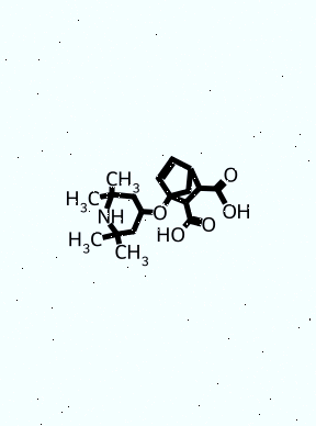 CC1(C)CC(OC23C=CC(C2)C(C(=O)O)C3C(=O)O)CC(C)(C)N1